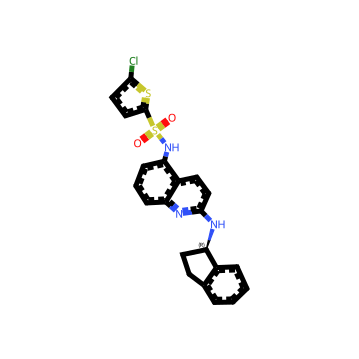 O=S(=O)(Nc1cccc2nc(N[C@@H]3CCc4ccccc43)ccc12)c1ccc(Cl)s1